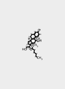 CCCCCC(=O)O[C@]1(C(=O)CO)CC[C@H]2C3=C([C@@H](O)C[C@@]21C)[C@@]1(C)C=CC(=O)C=C1CC3